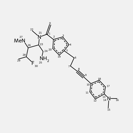 C=C(c1ccc(CCC#Cc2ccc(N(C)C)cc2)cc1)N(C)C(CN)C(NC)C(C)F